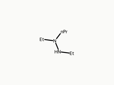 [CH2]CNN(CC)CCC